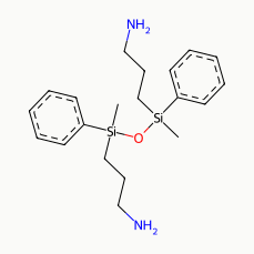 C[Si](CCCN)(O[Si](C)(CCCN)c1ccccc1)c1ccccc1